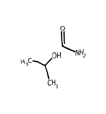 CC(C)O.NC=O